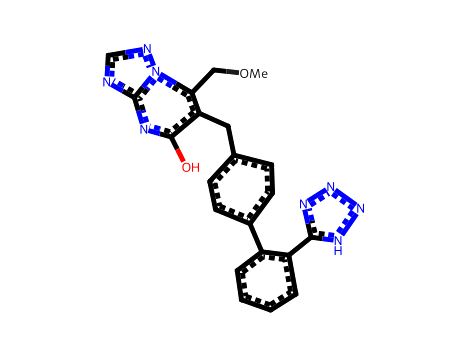 COCc1c(Cc2ccc(-c3ccccc3-c3nnn[nH]3)cc2)c(O)nc2ncnn12